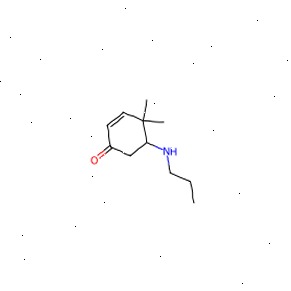 CCCNC1CC(=O)C=CC1(C)C